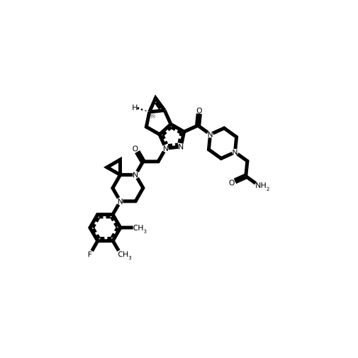 Cc1c(F)ccc(N2CCN(C(=O)Cn3nc(C(=O)N4CCN(CC(N)=O)CC4)c4c3C[C@H]3C=C43)C3(CC3)C2)c1C